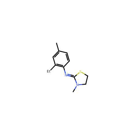 CCc1cc(C)ccc1N=C1SCCN1C